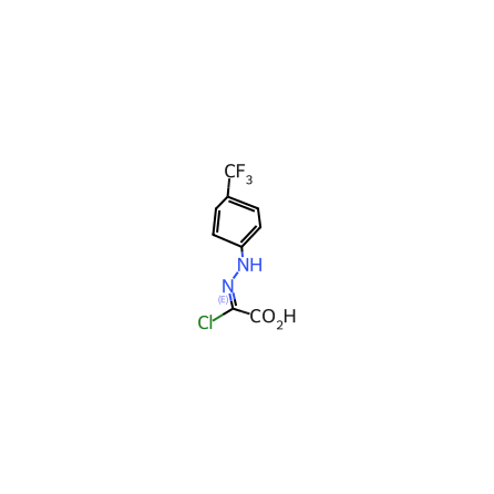 O=C(O)/C(Cl)=N\Nc1ccc(C(F)(F)F)cc1